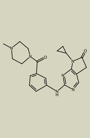 CN1CCN(C(=O)c2cccc(Nc3ncc4c(n3)N(C3CC3)C(=O)C4)c2)CC1